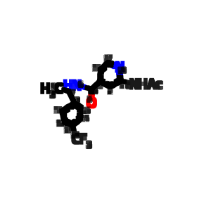 CC(=O)Nc1cc(C(=O)NC(C)c2ccc(C(F)(F)F)cc2)ccn1